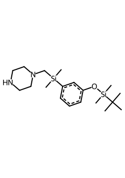 CC(C)(C)[Si](C)(C)Oc1cccc([Si](C)(C)CN2CCNCC2)c1